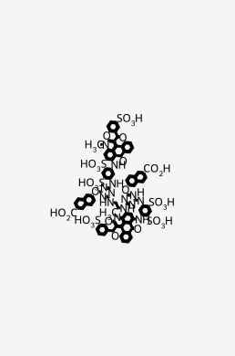 Cn1c(=O)c(C(=O)c2cccc(S(=O)(=O)O)c2)c2c3c(c(Nc4cc(Nc5nc(NCCNc6nc(Nc7cc(Nc8ccc9c%10c8C(=O)c8ccccc8-c%10c(C(=O)c8cccc(S(=O)(=O)O)c8)c(=O)n9C)c(S(=O)(=O)O)cc7S(=O)(=O)O)nc(Oc7ccc8cc(C(=O)O)ccc8c7)n6)nc(Oc6ccc7cc(C(=O)O)ccc7c6)n5)c(S(=O)(=O)O)cc4S(=O)(=O)O)ccc31)C(=O)c1ccccc1-2